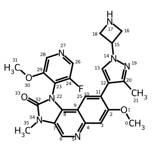 COc1cc2ncc3c(c2cc1-c1cn(C2CNC2)nc1C)n(-c1c(F)cncc1OC)c(=O)n3C